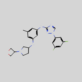 Cc1cc(Nc2ncn(-c3cc(F)cc(F)c3)n2)cc(NC2CCN(C3COC3)C2)c1